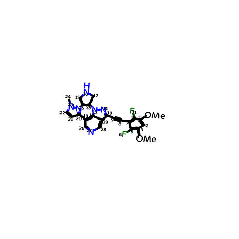 COc1cc(OC)c(F)c(C#Cc2nn([C@H]3CCNC3)c3c(-c4ccn(C)n4)cncc23)c1F